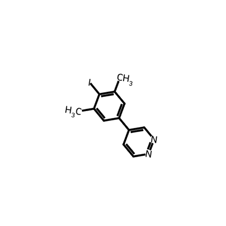 Cc1cc(-c2ccnnc2)cc(C)c1I